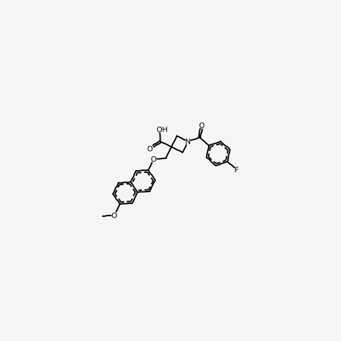 COc1ccc2cc(OCC3(C(=O)O)CN(C(=O)c4ccc(F)cc4)C3)ccc2c1